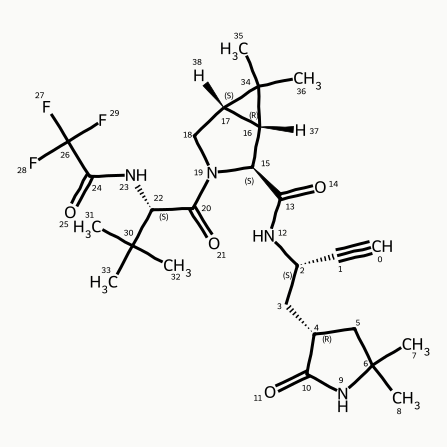 C#C[C@H](C[C@@H]1CC(C)(C)NC1=O)NC(=O)[C@@H]1[C@@H]2[C@H](CN1C(=O)[C@@H](NC(=O)C(F)(F)F)C(C)(C)C)C2(C)C